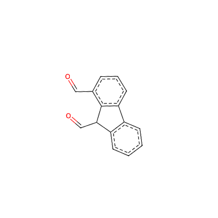 O=Cc1cccc2c1C(C=O)c1ccccc1-2